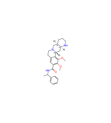 COc1c(C(=O)NC(C)c2ccccc2)cc2c(c1OC)[C@H]1C[C@@H]3NCCC[C@@H]3CN1CC2